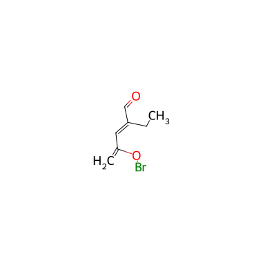 C=C(/C=C(/C=O)CC)OBr